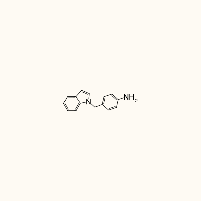 Nc1ccc(Cn2ccc3ccccc32)cc1